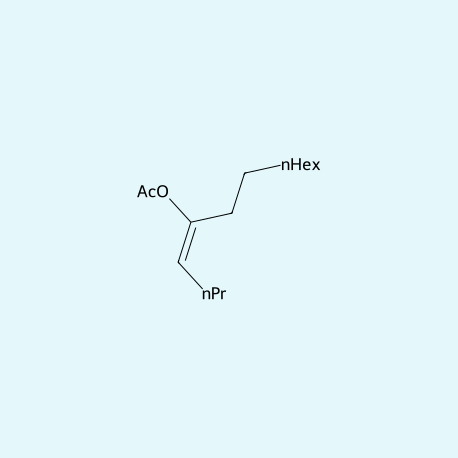 CCCC=C(CCCCCCCC)OC(C)=O